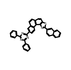 c1ccc(-c2nc(-c3ccccc3)nc(-c3ccc4c(ccc5ccc6sc(-c7ccc8ccccc8c7)nc6c54)c3)n2)cc1